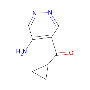 Nc1cnncc1C(=O)C1CC1